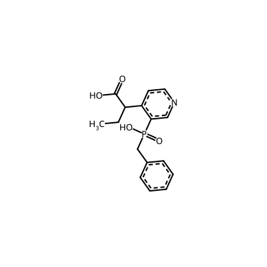 CCC(C(=O)O)c1ccncc1P(=O)(O)Cc1ccccc1